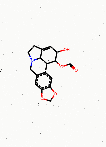 O=COC1C(O)C=C2CCN3Cc4cc5c(cc4C1C23)OCO5